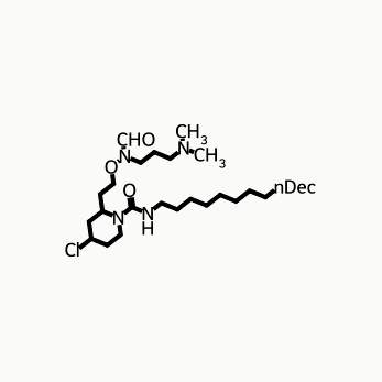 CCCCCCCCCCCCCCCCCCNC(=O)N1CCC(Cl)CC1CCON(C=O)CCCN(C)C